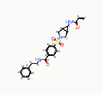 C=CC(=O)NC1C2CN(S(=O)(=O)c3ccc(C(=O)NCCc4ccccc4)cc3)CC21